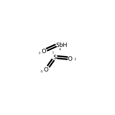 O=S=O.[O]=[SbH]